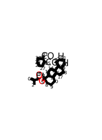 C=C(C)C(=O)OC1(CC)CCCc2c1ccc1c2ccc2ccccc21.O=C(O)c1ccccc1C(=O)O